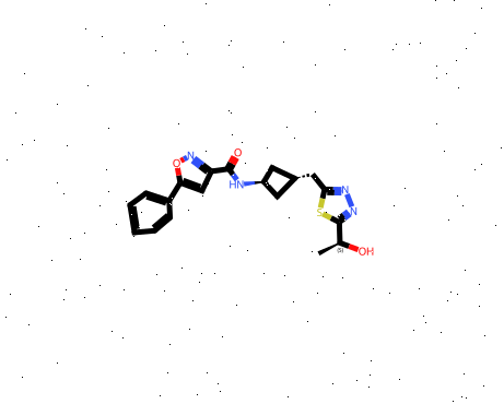 C[C@H](O)c1nnc(C[C@H]2C[C@H](NC(=O)c3cc(-c4ccccc4)on3)C2)s1